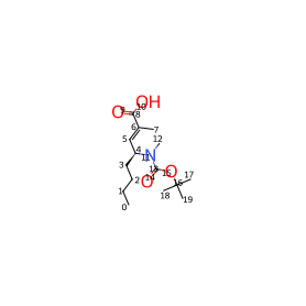 CCCC[C@@H](/C=C(\C)C(=O)O)N(C)C(=O)OC(C)(C)C